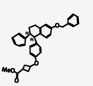 COC(=O)C1CC(Oc2ccc([C@@H]3c4ccc(OCc5ccccc5)cc4CC[C@@H]3c3ccccc3)cc2)C1